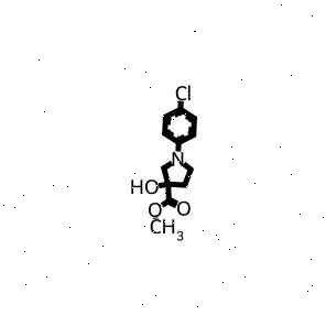 COC(=O)C1(O)CCN(c2ccc(Cl)cc2)C1